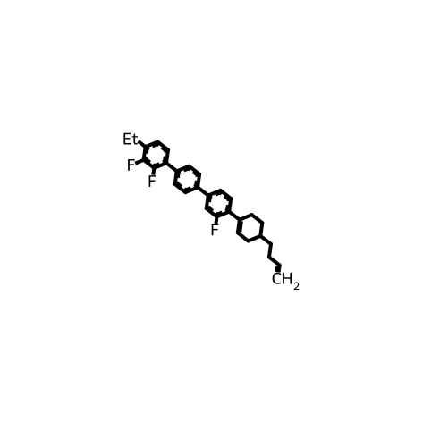 C=CCCC1CC=C(c2ccc(-c3ccc(-c4ccc(CC)c(F)c4F)cc3)cc2F)CC1